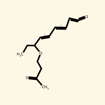 CCC(/C=C/C=C/C=C=O)OCCC(C)=O